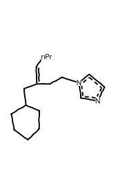 CCCC=C(CCn1ccnc1)CC1CCCCC1